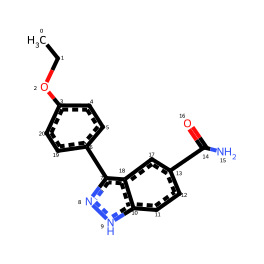 CCOc1ccc(-c2n[nH]c3ccc(C(N)=O)cc23)cc1